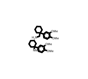 CNC1(c2ccc(OC)c(OC)c2)CCCCC1.COc1ccc(C2(CN)CCCCC2)cc1OC